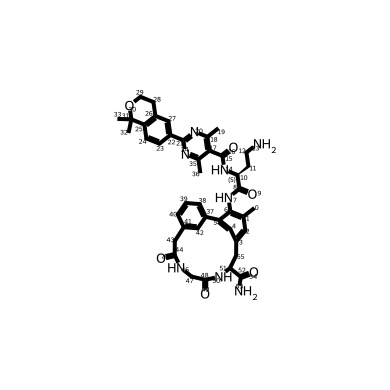 Cc1cc2cc(c1NC(=O)[C@H](CCN)NC(=O)c1c(C)nc(-c3ccc4c(c3)CCOC4(C)C)nc1C)-c1cccc(c1)CC(=O)NCC(=O)NC(C(N)=O)C2